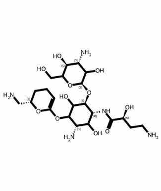 NCC[C@H](O)C(=O)N[C@@H]1C(O)[C@H](N)C(OC2=CCC[C@@H](CN)O2)C(O)[C@H]1O[C@H]1OC(CO)[C@@H](O)[C@H](N)C1O